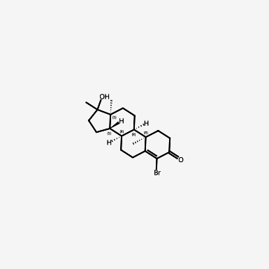 CC1(O)CC[C@H]2[C@@H]3CCC4=C(Br)C(=O)CC[C@]4(C)[C@@H]3CC[C@@]21C